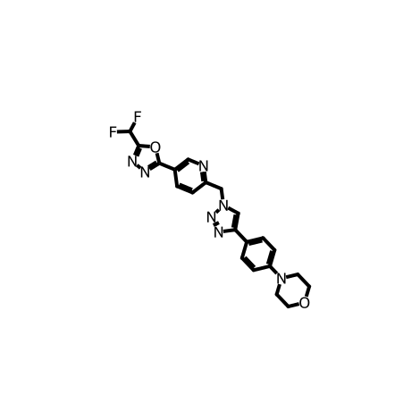 FC(F)c1nnc(-c2ccc(Cn3cc(-c4ccc(N5CCOCC5)cc4)nn3)nc2)o1